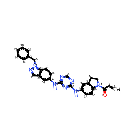 C=CC(=O)N1CCc2cc(Nc3ncnc(Nc4ccc5c(cnn5Cc5ccccc5)c4)n3)ccc21